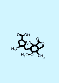 COc1c(C)c2c(c(N)c1CC1=C(C)CC(C(=O)O)C1)C(=O)OC2